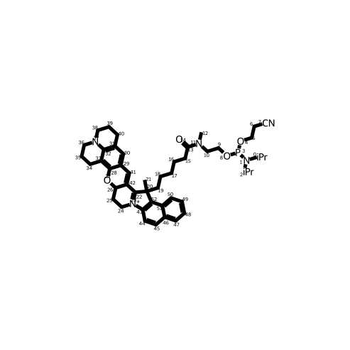 CC(C)N(C(C)C)P(OCCC#N)OCCN(C)C(=O)CCCCCC1(C)C2=[N+](CCC3Oc4c(cc5c6c4CCCN6CCC5)C=C23)c2ccc3ccccc3c21